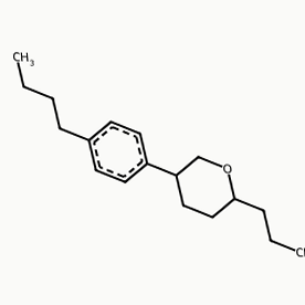 CCCCc1ccc(C2CCC(CCC)OC2)cc1